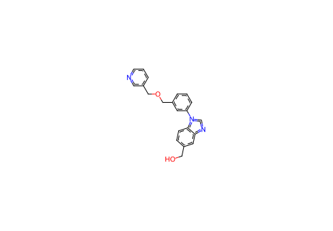 OCc1ccc2c(c1)ncn2-c1cccc(COCc2cccnc2)c1